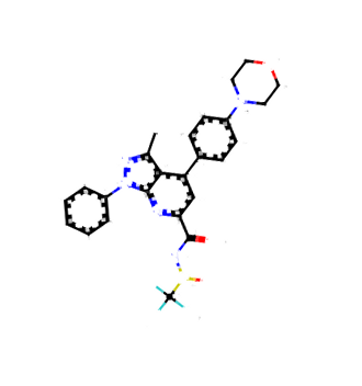 Cc1nn(-c2ccccc2)c2nc(C(=O)N[S+]([O-])C(F)(F)F)cc(-c3ccc(N4CCOCC4)cc3)c12